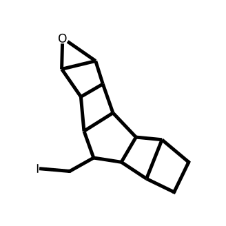 ICC1C2C3CCC3C2C2C1C1C3OC3C12